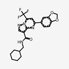 O=C(NCC1CCCCC1)c1cnn2c(C(F)(F)F)cc(-c3ccc4c(c3)OCO4)nc12